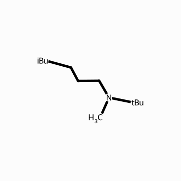 CCC(C)CCCN(C)C(C)(C)C